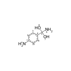 Nc1ccc(C(N)(O)O)cc1